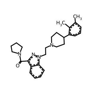 Cc1cccc(C2CCN(CCn3nc(C(=O)N4CCCC4)c4ccccc43)CC2)c1C